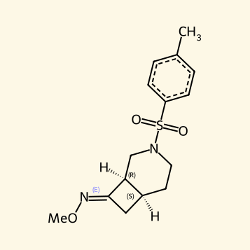 CO/N=C1\C[C@@H]2CCN(S(=O)(=O)c3ccc(C)cc3)C[C@H]12